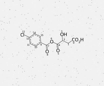 O=C(O)CC(O)C(=O)OC(=O)c1ccc(Cl)cc1